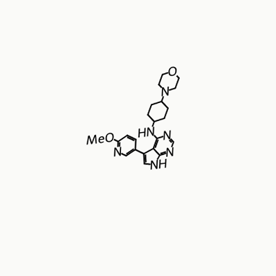 COc1ccc(-c2c[nH]c3ncnc(NC4CCC(N5CCOCC5)CC4)c23)cn1